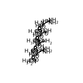 COc1ccc(NC(=O)[C@H](CCCNC(=N)N)NC(=O)c2cc(NC(=O)[C@H](CCCN)NC(=O)c3cc(NC(=O)[C@H](CCC(=O)O)NC(=O)c4cc(NC(=O)[C@@H](N)CCCNC(=N)N)ccc4OC)ccc3OC)ccc2OC)cc1C(N)=O